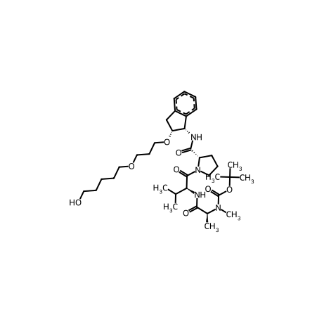 CC(C)[C@H](NC(=O)[C@H](C)N(C)C(=O)OC(C)(C)C)C(=O)N1CCC[C@H]1C(=O)N[C@H]1c2ccccc2C[C@H]1OCCCOCCCCCO